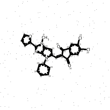 Cn1c(-c2ccco2)nc2c1cc(C=C1C(=O)c3cc(Cl)c(Cl)cc3C1=O)n2-c1ccccc1